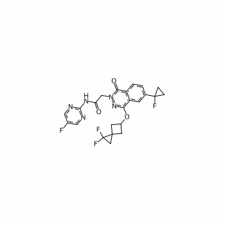 O=C(Cn1nc(OC2CC3(C2)CC3(F)F)c2cc(C3(F)CC3)ccc2c1=O)Nc1ncc(F)cn1